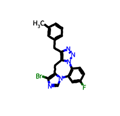 Cc1cccc(Cc2nnn3c2Cc2c(Br)ncn2-c2cc(F)ccc2-3)c1